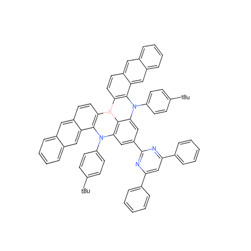 CC(C)(C)c1ccc(N2c3cc(-c4nc(-c5ccccc5)cc(-c5ccccc5)n4)cc4c3B(c3ccc5cc6ccccc6cc5c32)c2ccc3cc5ccccc5cc3c2N4c2ccc(C(C)(C)C)cc2)cc1